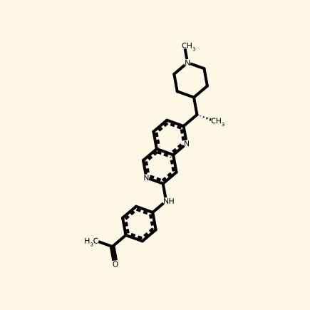 CC(=O)c1ccc(Nc2cc3nc([C@@H](C)C4CCN(C)CC4)ccc3cn2)cc1